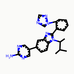 CC(C)C(C)n1c(-c2ccccc2-n2cncn2)nc2cc(-c3cnc(N)nc3)ccc21